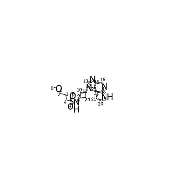 COCCCS(=O)(=O)NC1C=C(n2cnc3cnc4[nH]ccc4c32)C1